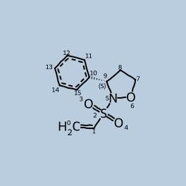 C=CS(=O)(=O)N1OCC[C@H]1c1ccccc1